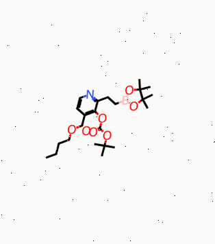 CCCCOC(=O)c1ccnc(CCB2OC(C)(C)C(C)(C)O2)c1OC(=O)OC(C)(C)C